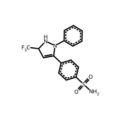 NS(=O)(=O)c1ccc(C2=CC(C(F)(F)F)NN2c2ccccc2)cc1